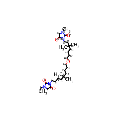 CCN1CC(=O)N(CCCCC(C)(C)CCCCOCCCCC(C)(C)CCN2C(=O)CN(C)C2=O)C1=O